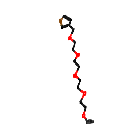 CCCCOCCOCCOCCOCCOCc1ccsc1